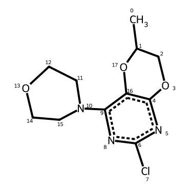 CC1COc2nc(Cl)nc(N3CCOCC3)c2O1